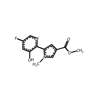 COC(=O)c1cc(-c2ncc(F)cc2O)n(C)c1